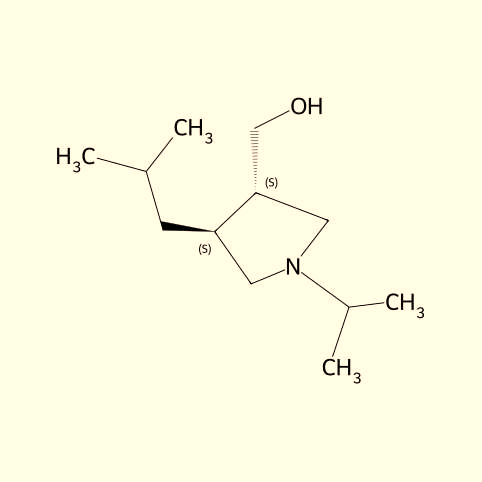 CC(C)C[C@@H]1CN(C(C)C)C[C@H]1CO